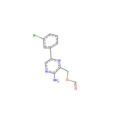 Nc1ncc(-c2cccc(Br)c2)nc1COC=O